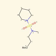 COCCN(C)S(=O)(=O)N1C[CH]CCC1